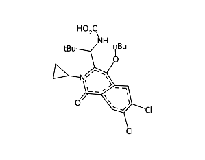 CCCCOc1c(C(NC(=O)O)C(C)(C)C)n(C2CC2)c(=O)c2cc(Cl)c(Cl)cc12